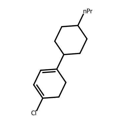 CCCC1CCC(C2=CC=C(Cl)CC2)CC1